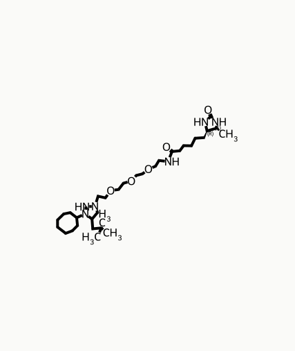 C[C@@H]1NC(=O)N[C@@H]1CCCCCC(=O)NCCOCCOCCOCCN1CC(CC(C)(C)C)N(C2CCCCCCC2)N1